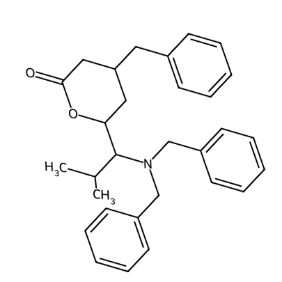 CC(C)C(C1CC(Cc2ccccc2)CC(=O)O1)N(Cc1ccccc1)Cc1ccccc1